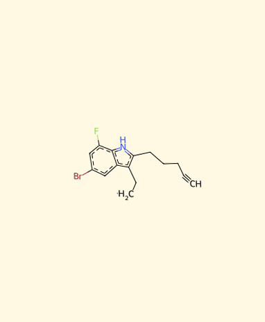 C#CCCCc1[nH]c2c(F)cc(Br)cc2c1C[CH2]